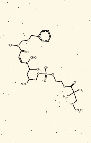 CCOC(=O)NCC(C)(C)C(=O)SCCOP(=O)(O)OCC(CC(C)N(C=O)/C=C\C(=O)N(C)COCc1ccccc1)OC